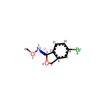 CO/N=C1\OCc2cc(Br)ccc21